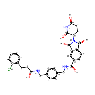 O=C(CCc1ccccc1Cl)NCc1ccc(CNC(=O)c2ccc3c(c2)C(=O)N(C2CCC(=O)NC2=O)C3=O)cc1